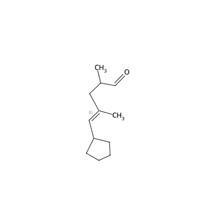 C/C(=C\C1CCCC1)CC(C)C=O